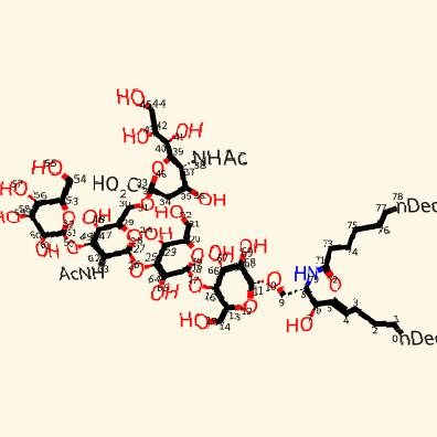 CCCCCCCCCCCCC/C=C/[C@@H](O)[C@H](CO[C@@H]1OC(CO)[C@@H](O[C@@H]2OC(CO)[C@H](O)[C@H](O[C@@H]3OC(CO[C@]4(C(=O)O)CC(O)[C@@H](NC(C)=O)C([C@H](O)[C@H](O)CO)O4)[C@@H](O)[C@H](O[C@@H]4OC(CO)[C@H](O)[C@H](O)C4O)C3NC(C)=O)C2O)[C@H](O)C1O)NC(=O)CCCCCCCCCCCCCCC